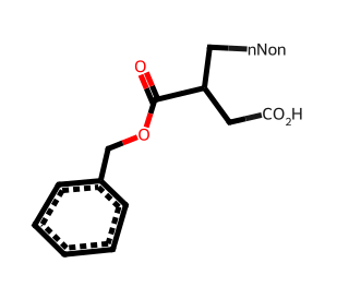 CCCCCCCCCCC(CC(=O)O)C(=O)OCc1ccccc1